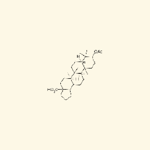 CC(=O)OC1CCC2(C)[C@H]3CCC4C5CCCC5(C(=O)O)CC[C@@]4(C)C3(C)CC[C@H]2C1(C)C